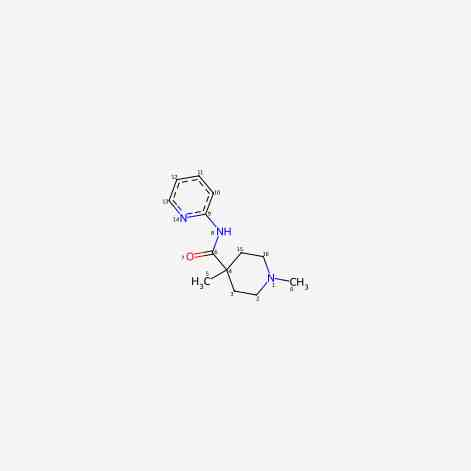 CN1CCC(C)(C(=O)Nc2ccccn2)CC1